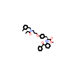 CCC(=O)N(CCCOc1ccc(C[C@H](Nc2ccccc2C(=O)c2ccccc2)C(=O)OC)cc1)Cc1cccc(C)c1